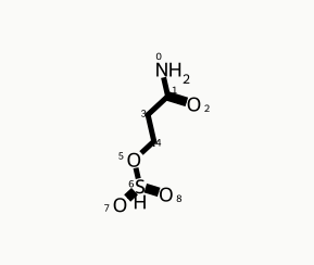 NC(=O)C[CH]O[SH](=O)=O